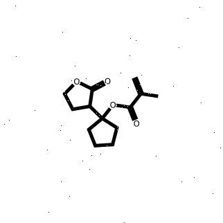 C=C(C)C(=O)OC1(C2CCOC2=O)CCCC1